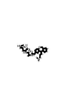 CC(NC(=O)Cc1ccc2c(c1)/C(=C\CCN(C)C)c1ccccc1CO2)C(=O)NC(Cc1c[nH]cn1)C(=O)O